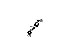 CCCNC(=O)N1CC2CC(CN(C[C@@H](O)COc3ccc(C#N)cc3)C2)C1